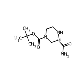 CC(C)(C)OC(=O)N1CCN[C@@H](C(N)=O)C1